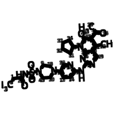 CCC(=O)NS(=O)(=O)N1CCN(c2ccc(Nc3ncc4c(C)c(C(C)=O)c(=O)n(C5CCCC5)c4n3)nc2)CC1